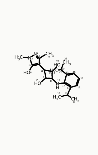 Cc1nn(C)c(O)c1C1C(O)C(Nc2c(C(C)C)cccc2C(C)C)C1O